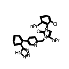 CCCc1cccc(Cl)c1-n1cc(CCC)n(Cc2ccc(-c3ccccc3-c3nnn[nH]3)cn2)c1=O